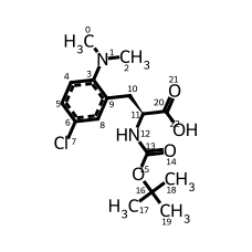 CN(C)c1ccc(Cl)cc1C[C@H](NC(=O)OC(C)(C)C)C(=O)O